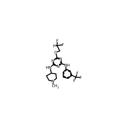 CN1CCC(Nc2nc(Nc3cccc(C(F)(F)F)c3)nc(OCC(F)(F)F)n2)CC1